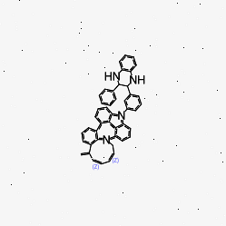 C=C1/C=C\C=C/Cn2c3cccc4c3c3c(cccc3n4-c3cccc(C4Nc5ccccc5NC4c4ccccc4)c3)c3cccc1c32